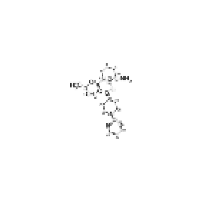 CC(C)OC(=O)N1CCC[C@H](N)[C@@H]1COC1CCN(c2ncccn2)CC1